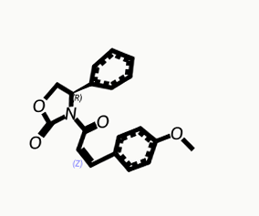 COc1ccc(/C=C\C(=O)N2C(=O)OC[C@H]2c2ccccc2)cc1